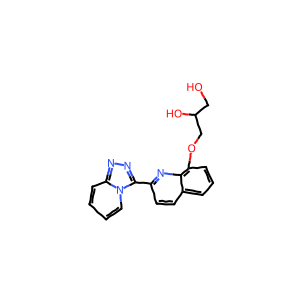 OCC(O)COc1cccc2ccc(-c3nnc4ccccn34)nc12